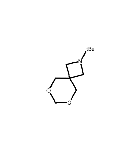 CC(C)(C)N1CC2(COCOC2)C1